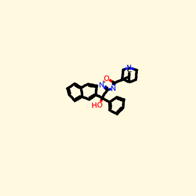 OC(c1ccccc1)(c1ccc2ccccc2c1)c1noc(C2CN3CCC2CC3)n1